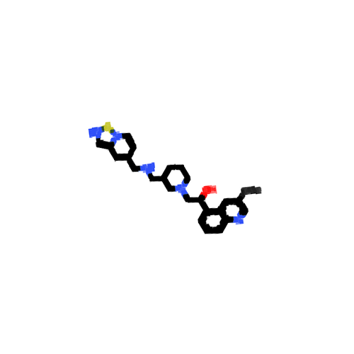 COc1cnc2cccc(C(O)CN3CCCC(CNCC4=CC5=CNSN5C=C4)C3)c2c1